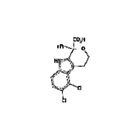 CCCC1(C(=O)O)OCCc2c1[nH]c1ccc(Cl)c(Cl)c21